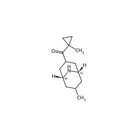 CC1C[C@@H]2CC(C(=O)C3(C)CC3)C[C@H](C1)N2